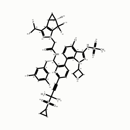 CC(C)(C#Cc1ccc(-c2ccc(Cl)c3c(NS(C)(=O)=O)nn(C4COC4)c23)c([C@H](Cc2cc(F)cc(F)c2)NC(=O)Cn2nc(C(F)F)c3c2C(F)(F)[C@@H]2CC32)n1)S(=O)(=O)C1CC1